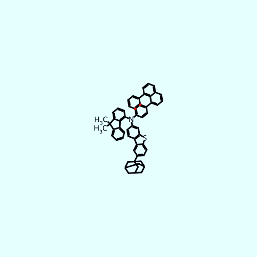 CC1(C)c2ccccc2-c2c(N(c3ccc(-c4cccc5cccc(-c6ccccc6)c45)cc3)c3ccc4c(c3)sc3ccc(C56CC7CC(CC(C7)C5)C6)cc34)cccc21